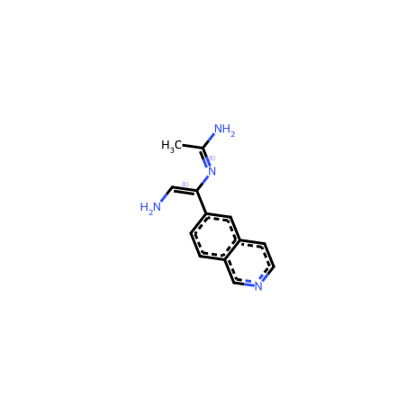 C/C(N)=N\C(=C\N)c1ccc2cnccc2c1